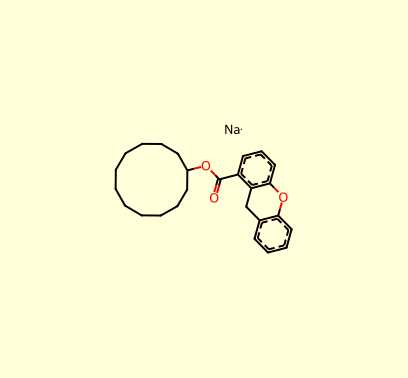 O=C(OC1CCCCCCCCCCC1)c1cccc2c1Cc1ccccc1O2.[Na]